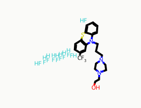 F.F.F.F.F.F.F.F.F.F.OCCN1CCN(CCCN2c3ccccc3Sc3ccc(C(F)(F)F)cc32)CC1